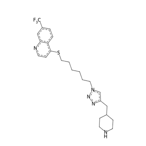 FC(F)(F)c1ccc2c(SCCCCCCn3cc(CC4CCNCC4)nn3)ccnc2c1